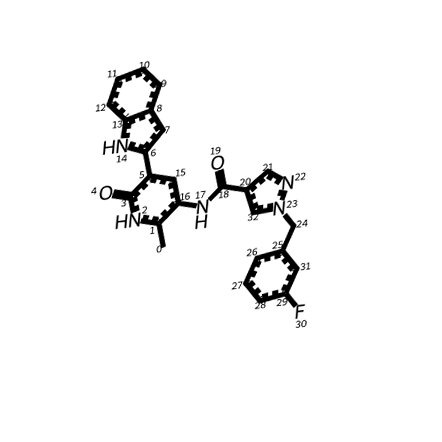 Cc1[nH]c(=O)c(-c2cc3ccccc3[nH]2)cc1NC(=O)c1cnn(Cc2cccc(F)c2)c1